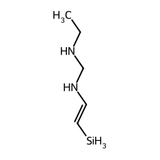 CCNCNC=C[SiH3]